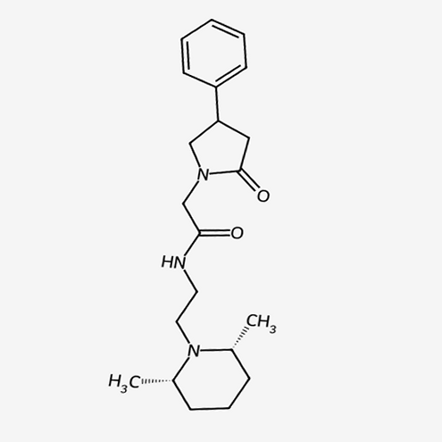 C[C@@H]1CCC[C@H](C)N1CCNC(=O)CN1CC(c2ccccc2)CC1=O